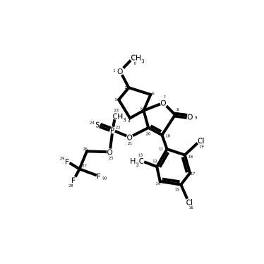 COC1CCC2(C1)OC(=O)C(c1c(C)cc(Cl)cc1Cl)=C2OP(C)(=S)OCC(F)(F)F